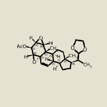 CC(=O)O[C@H]1[C@@H]2O[C@@H]2[C@]2(C)[C@H]3CC[C@]4(C)[C@@H](C(C)C5OCCO5)CC[C@H]4[C@@H]3C=C[C@]23O[C@H]13